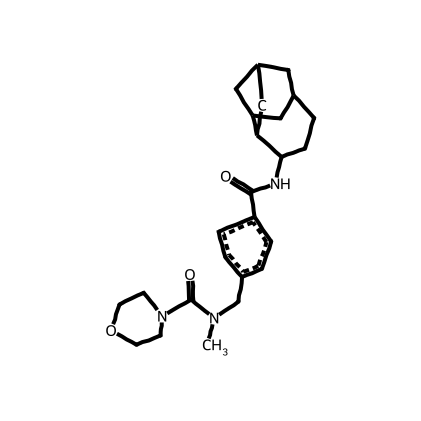 CN(Cc1ccc(C(=O)NC2CCC3CC4CC(C3)C2C4)cc1)C(=O)N1CCOCC1